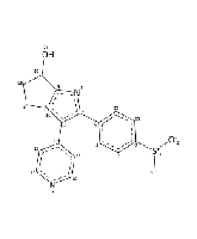 C[S+]([O-])c1ccc(-c2nc3n(c2-c2ccncc2)CCC3O)cc1